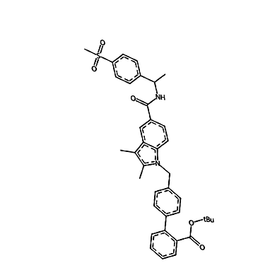 Cc1c(C)n(Cc2ccc(-c3ccccc3C(=O)OC(C)(C)C)cc2)c2ccc(C(=O)NC(C)c3ccc(S(C)(=O)=O)cc3)cc12